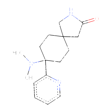 CN(C)C1(c2ccccn2)CCC2(CC1)CNC(=O)C2